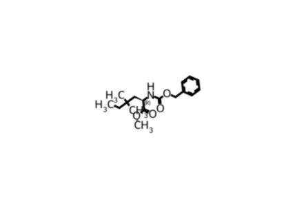 CCC(C)(C)C[C@@H](NC(=O)OCc1ccccc1)C(=O)OC